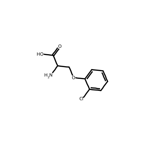 NC(COc1ccccc1Cl)C(=O)O